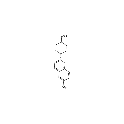 CCCCCCCC[C@H]1CC[C@H](c2ccc3cc(C(F)(F)F)ccc3c2)CC1